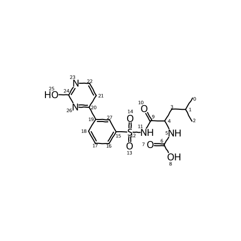 CC(C)CC(NC(=O)O)C(=O)NS(=O)(=O)c1cccc(-c2ccnc(O)n2)c1